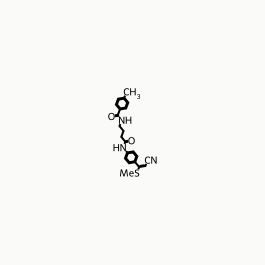 CS/C(=C/C#N)c1ccc(NC(=O)CCCNC(=O)c2ccc(C)cc2)cc1